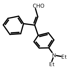 CCN(CC)c1ccc(C(=CC=O)c2ccccc2)cc1